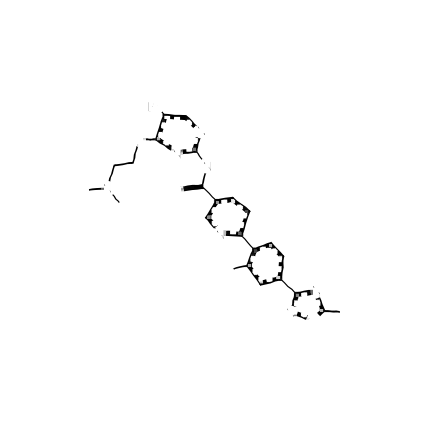 Cc1nc(-c2ccc(-c3ccc(C(=O)Nc4ncc(Br)c(OCCN(C)C)n4)cn3)c(F)c2)no1